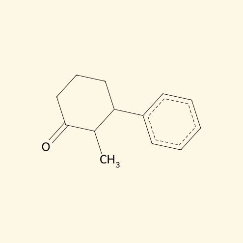 CC1C(=O)CCCC1c1ccccc1